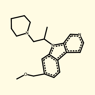 COCc1ccc2c3ccncc3n(C(C)CN3CCCCC3)c2c1